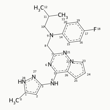 Cc1cc(Nc2nc(CN(CC(C)C)c3ccc(F)cc3)nn3cccc23)n[nH]1